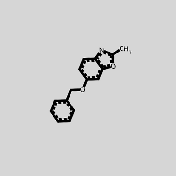 Cc1nc2ccc(OCc3ccccc3)cc2o1